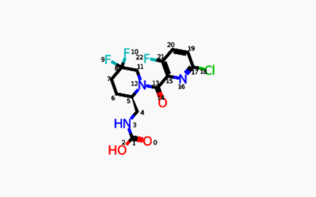 O=C(O)NC[C@H]1CCC(F)(F)CN1C(=O)c1nc(Cl)ccc1F